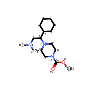 CC(=O)N(CC(C1CCCCC1)N1CCN(C(=O)OC(C)(C)C)CC1)C(C)C